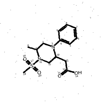 CC1CN(c2ccccc2)C(CC(=O)O)CN1S(C)(=O)=O